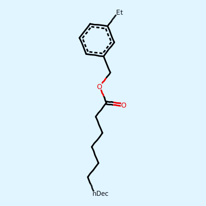 CCCCCCCCCCCCCCCC(=O)OCc1cccc(CC)c1